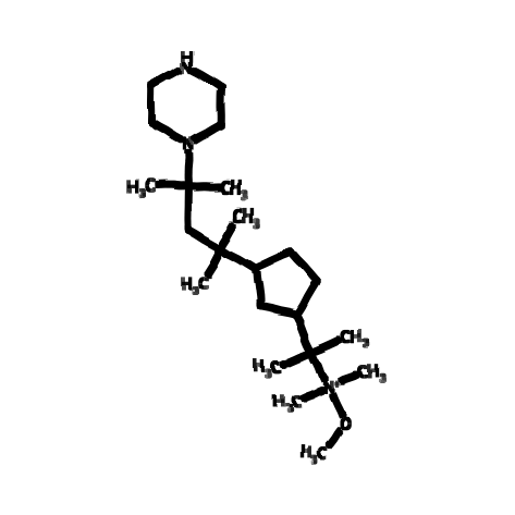 CO[N+](C)(C)C(C)(C)C1CCC(C(C)(C)CC(C)(C)N2CCNCC2)C1